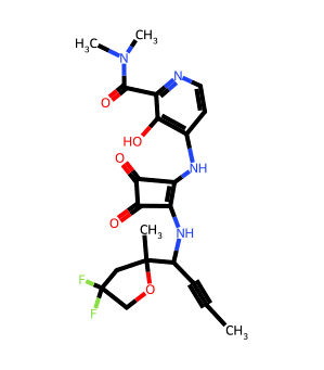 CC#CC(Nc1c(Nc2ccnc(C(=O)N(C)C)c2O)c(=O)c1=O)C1(C)CC(F)(F)CO1